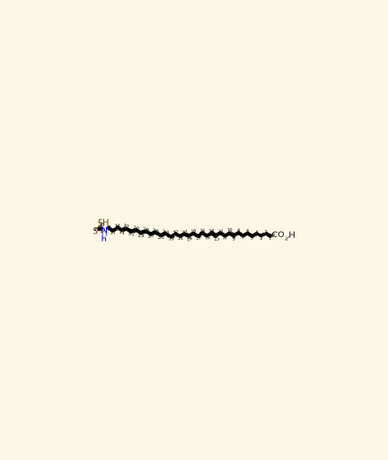 O=C(O)CCCCCCCCCCCCCCCCCCCCCCCCCCCCCCCCCCCCNC(=S)S